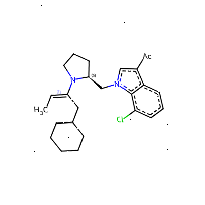 C/C=C(\CC1CCCCC1)N1CCC[C@H]1Cn1cc(C(C)=O)c2cccc(Cl)c21